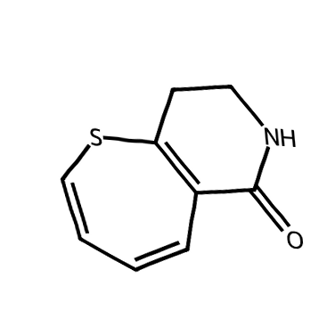 O=C1NCCC2=C1C=CC=CS2